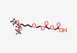 C[Si](C)(C)O[Si](C)(CCCCOCCOC(=O)COCC(=O)O)O[Si](C)(C)C